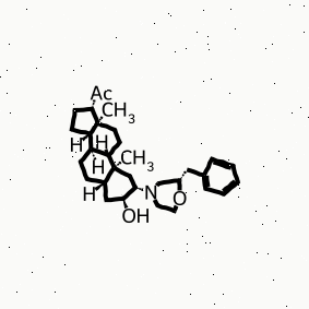 CC(=O)[C@H]1CC[C@H]2[C@@H]3CC[C@H]4C[C@H](O)[C@@H](N5CCO[C@@H](Cc6ccccc6)C5)C[C@]4(C)[C@H]3CC[C@]12C